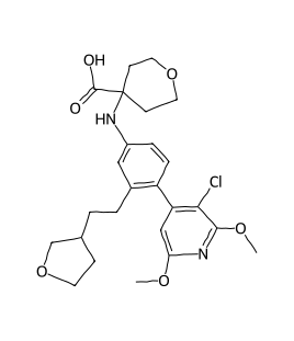 COc1cc(-c2ccc(NC3(C(=O)O)CCOCC3)cc2CCC2CCOC2)c(Cl)c(OC)n1